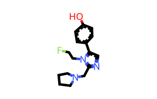 Oc1ccc(-c2cnc(CN3CCCC3)n2CCF)cc1